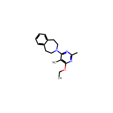 Cc1nc(OCC#N)c(C#N)c(N2CCc3ccccc3CC2)n1